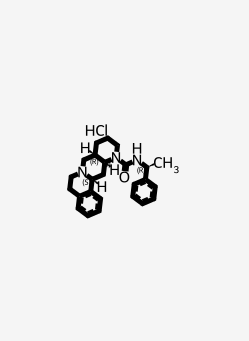 C[C@@H](NC(=O)N1CCC[C@@H]2CN3CCc4ccccc4[C@@H]3C[C@@H]21)c1ccccc1.Cl